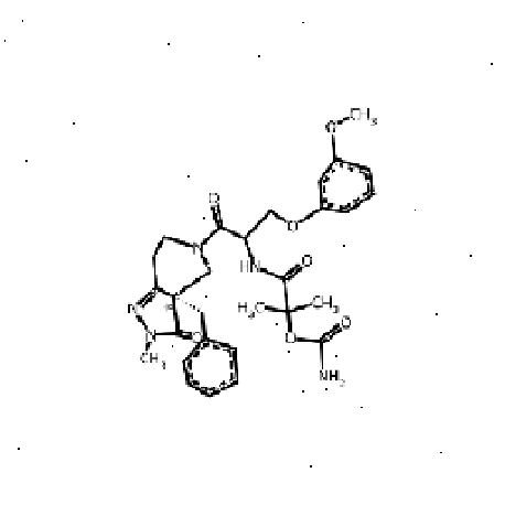 COc1cccc(OCC(NC(=O)C(C)(C)OC(N)=O)C(=O)N2CCC3=NN(C)C(=O)[C@]3(Cc3ccccc3)C2)c1